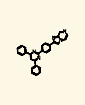 c1ccc(-c2cc(-c3ccccc3)nc(-c3ccc(-c4cn5ccncc5n4)cc3)n2)cc1